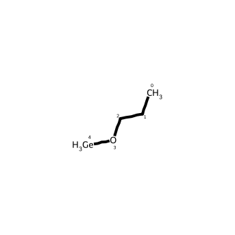 CCC[O][GeH3]